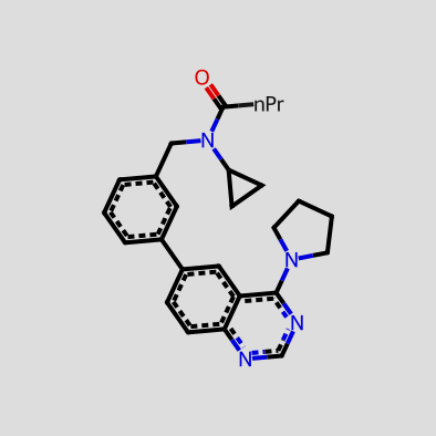 CCCC(=O)N(Cc1cccc(-c2ccc3ncnc(N4CCCC4)c3c2)c1)C1CC1